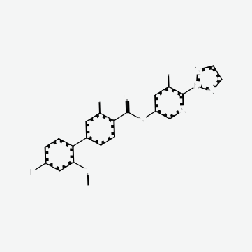 CSc1cc(F)ccc1-c1ccc(C(=O)Nc2cnc(-n3nccn3)c(Cl)c2)c(Cl)c1